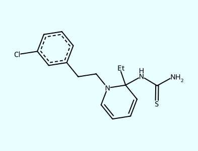 CCC1(NC(N)=S)C=CC=CN1CCc1cccc(Cl)c1